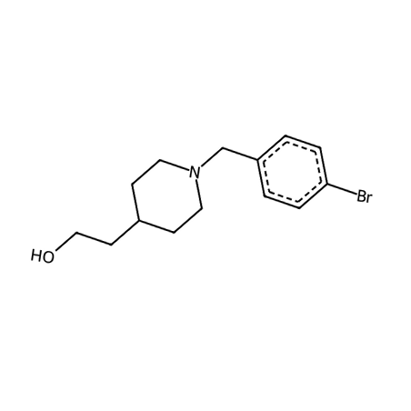 OCCC1CCN(Cc2ccc(Br)cc2)CC1